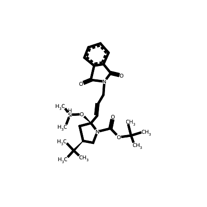 C[SiH](C)O[C@]1(C=CCN2C(=O)c3ccccc3C2=O)C[C@H](C(C)(C)C)CN1C(=O)OC(C)(C)C